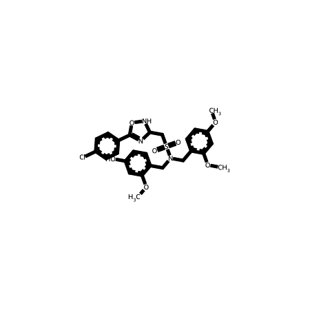 COc1ccc(CN(Cc2ccc(O)cc2OC)S(=O)(=O)CC2N=C(c3ccc(Cl)cc3)ON2)c(OC)c1